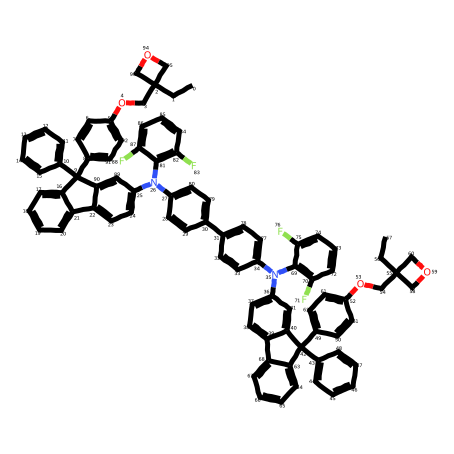 CCC1(COc2ccc(C3(c4ccccc4)c4ccccc4-c4ccc(N(c5ccc(-c6ccc(N(c7ccc8c(c7)C(c7ccccc7)(c7ccc(OCC9(CC)COC9)cc7)c7ccccc7-8)c7c(F)cccc7F)cc6)cc5)c5c(F)cccc5F)cc43)cc2)COC1